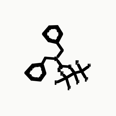 FC(F)(F)C(F)(SC(=S)N(Cc1ccccc1)Cc1ccccc1)C(F)(F)F